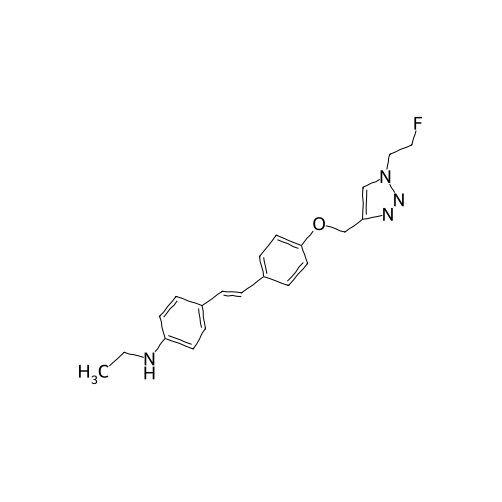 CCNc1ccc(C=Cc2ccc(OCc3cn(CCF)nn3)cc2)cc1